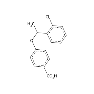 CC(Oc1ccc(C(=O)O)cc1)c1ccccc1Cl